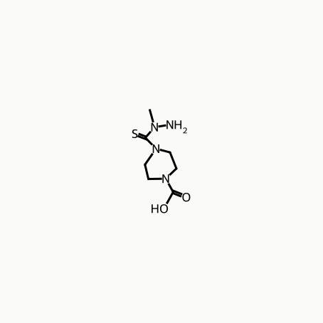 CN(N)C(=S)N1CCN(C(=O)O)CC1